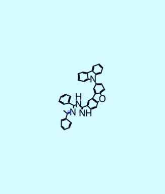 C/C(=N\C(NC(=N)c1ccc2oc3ccc(-n4c5ccccc5c5ccccc54)cc3c2c1)c1ccccc1)c1ccccc1